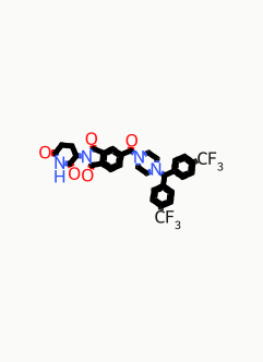 O=C1CCC(N2C(=O)c3ccc(C(=O)N4CCN(C(c5ccc(C(F)(F)F)cc5)c5ccc(C(F)(F)F)cc5)CC4)cc3C2=O)C(=O)N1